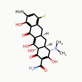 CNc1cc(F)c2c(c1O)C(=O)C1=C(O)[C@]3(O)C(=O)C(C(N)=O)=C(O)[C@@H](N(C)C)[C@@H]3C[C@@H]1C2